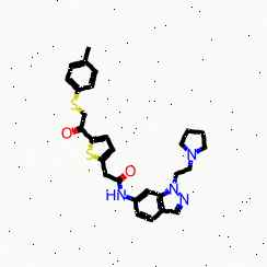 Cc1ccc(SCC(=O)c2ccc(CC(=O)Nc3ccc4cnn(CCN5CCCC5)c4c3)s2)cc1